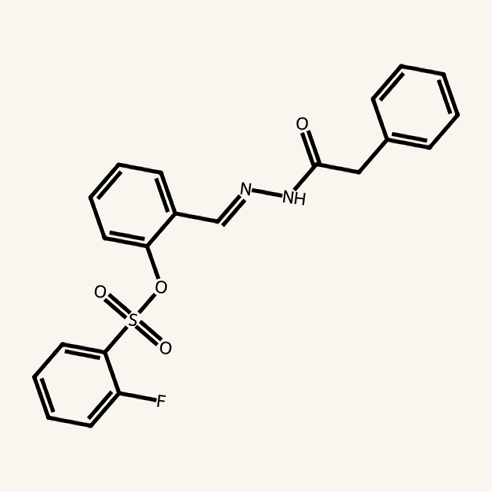 O=C(Cc1ccccc1)N/N=C/c1ccccc1OS(=O)(=O)c1ccccc1F